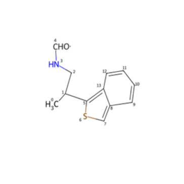 CC(CN[C]=O)c1scc2ccccc12